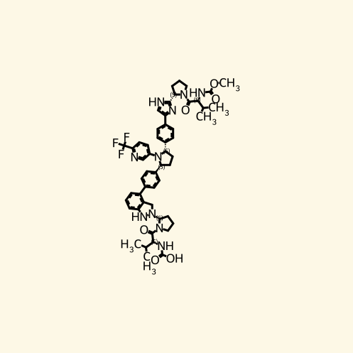 COC(=O)N[C@H](C(=O)N1CCC[C@H]1c1nc(-c2ccc([C@@H]3CC[C@@H](c4ccc(-c5cccc6c5CN([C@H]5CCCN5C(=O)[C@@H](NC(=O)O)C(C)C)N6)cc4)N3c3ccc(C(F)(F)F)nc3)cc2)c[nH]1)C(C)C